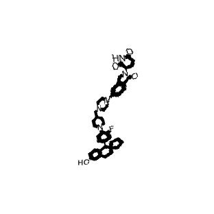 O=C1CC[C@H](N2Cc3cc(N4CCN(CC5CCN(c6ccc([C@@H]7c8ccc(O)cc8CCC78CCCC8)cc6F)CC5)CC4)ccc3C2=O)C(=O)N1